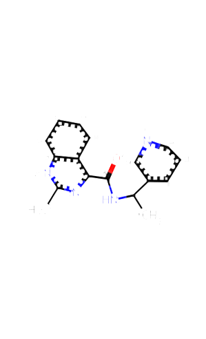 Cc1nc(C(=O)NC(C)c2cccnc2)c2ccccc2n1